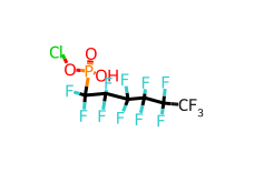 O=P(O)(OCl)C(F)(F)C(F)(F)C(F)(F)C(F)(F)C(F)(F)C(F)(F)F